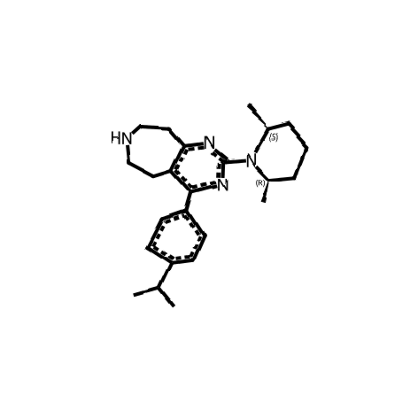 CC(C)c1ccc(-c2nc(N3[C@H](C)CCC[C@@H]3C)nc3c2CCNCC3)cc1